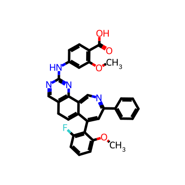 COc1cc(Nc2ncc3c(n2)C2=CN=C(c4ccccc4)C=C(c4c(F)cccc4OC)C2=CC3)ccc1C(=O)O